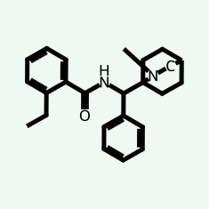 CCc1ccccc1C(=O)NC(c1ccccc1)C12CCC(CC1)CN2C